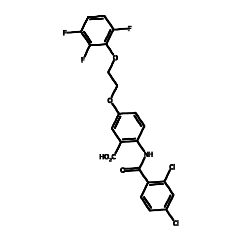 O=C(Nc1ccc(OCCOc2c(F)ccc(F)c2F)cc1C(=O)O)c1ccc(Cl)cc1Cl